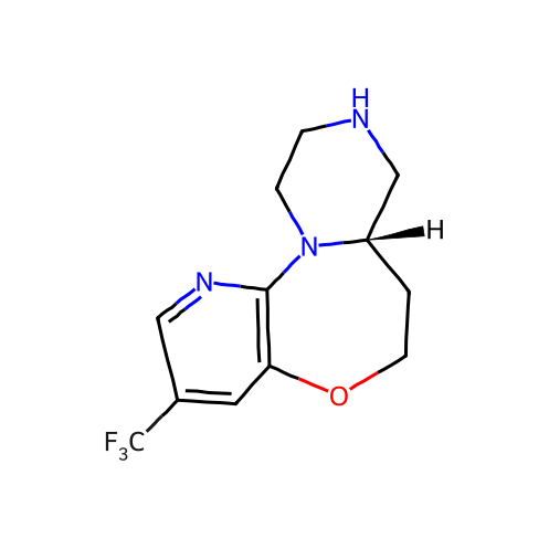 FC(F)(F)c1cnc2c(c1)OCC[C@H]1CNCCN21